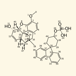 COc1ccc2c3c1O[C@H]1[C@@H](O)C=C[C@H]4[C@@H](C2)N(C)CC[C@@]341.O=P(O)(O)OC1CCC(c2ccccc2)(c2ccccc2)CC1